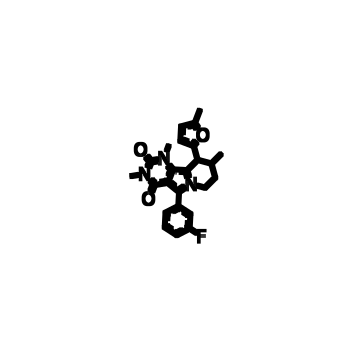 Cc1ccc(C2c3c4c(c(-c5cccc(F)c5)n3CCC2C)c(=O)n(C)c(=O)n4C)o1